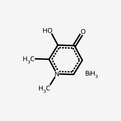 Cc1c(O)c(=O)ccn1C.[BiH3]